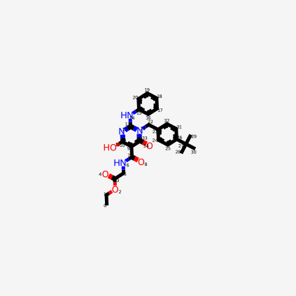 CCOC(=O)CNC(=O)c1c(O)nc(Nc2ccccc2)n(Cc2ccc(C(C)(C)C)cc2)c1=O